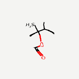 CC(C)C(C)([SiH3])O[C]=O